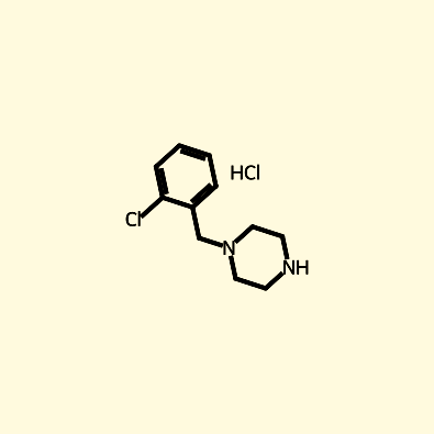 Cl.Clc1ccccc1CN1CCNCC1